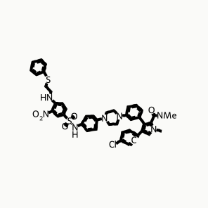 CNC(=O)c1c(-c2cccc(N3CCN(c4ccc(NS(=O)(=O)c5ccc(NCCSc6ccccc6)c([N+](=O)[O-])c5)cc4)CC3)c2)c(-c2ccc(Cl)cc2)cn1C